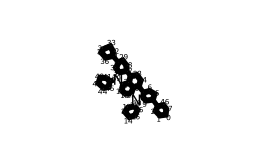 c1ccc(-c2ccc3c(c2)N(c2ccccc2)c2ccc4c5c(ccc-3c25)-c2ccc(-c3ccccc3)cc2N4c2ccccc2)cc1